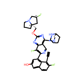 C#Cc1c(F)ccc2cc(O)cc(-c3ncc4c(N5CC6CCC5CN6)nc(OC[C@]56CCCN5C[C@@H](F)C6)nc4c3F)c12